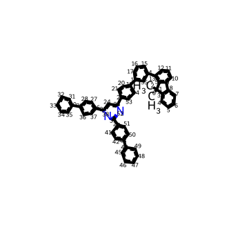 CC1(C)c2ccccc2-c2cccc(-c3cccc(-c4ccc(-c5cc(-c6ccc(-c7ccccc7)cc6)nc(-c6ccc(-c7ccccc7)cc6)n5)cc4)c3)c21